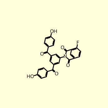 O=C(c1ccc(O)cc1)c1cc(C(=O)c2ccc(O)cc2)cc(N2C(=O)c3ccc(F)c(c3)C2=O)c1